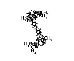 CN[C@@H](C)C(=O)N[C@H]1CCS[C@H]2CC(C)(C)[C@@H](C(=O)Nc3ccc(CCc4ccc(NC(=O)[C@H]5N6C(=O)[C@@H](NC(=O)[C@H](C)NC)CCS[C@@H]6CC5(C)C)cc4)cc3)N2C1=O